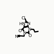 CCCn1c(=O)n(CC#N)c(=O)c2[nH]c(Cl)nc21